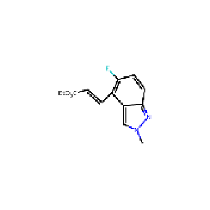 CCOC(=O)/C=C/c1c(F)ccc2nn(C)cc12